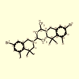 Cc1cc(Br)cc2c1C(C)(C)CN(C(OC(N1Cc3cc(Br)cc(C)c3C(C)(C)C1)C(F)(F)F)C(F)(F)F)C2